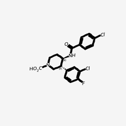 O=C(N[C@@H]1CCN(C(=O)O)C[C@H]1c1ccc(F)c(Cl)c1)c1ccc(Cl)cc1